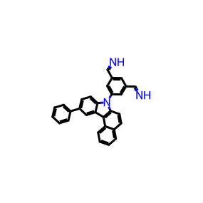 N=Cc1cc(C=N)cc(-n2c3ccc(-c4ccccc4)cc3c3c4ccccc4ccc32)c1